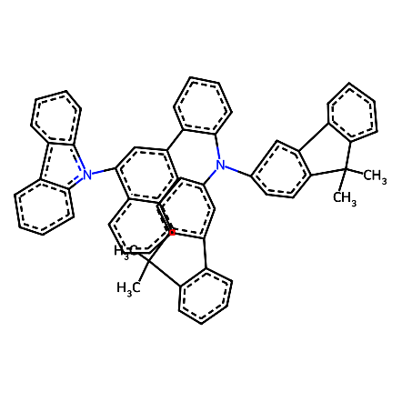 CC1(C)c2ccccc2-c2cc(N(c3ccc4c(c3)-c3ccccc3C4(C)C)c3ccccc3-c3cc(-n4c5ccccc5c5ccccc54)c4ccccc4c3)ccc21